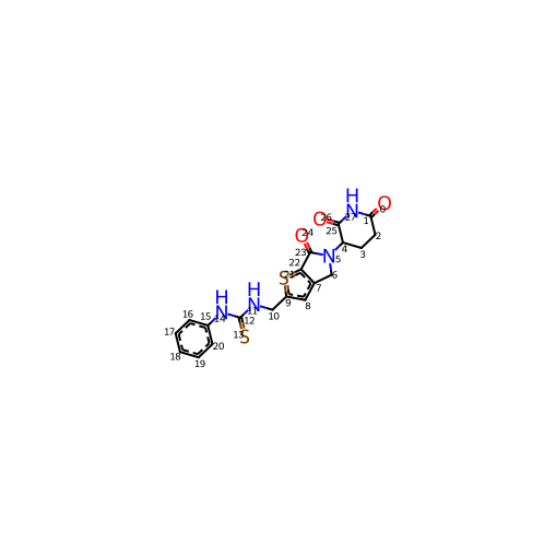 O=C1CCC(N2Cc3cc(CNC(=S)Nc4ccccc4)sc3C2=O)C(=O)N1